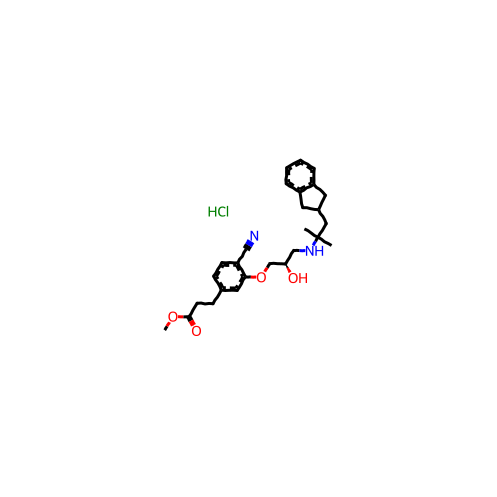 COC(=O)CCc1ccc(C#N)c(OC[C@H](O)CNC(C)(C)CC2Cc3ccccc3C2)c1.Cl